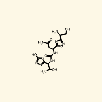 CC(O)[C@H](NC(=O)N[C@@H](CC(N)=O)c1nc([C@@H](N)CO)no1)c1nnc(O)o1